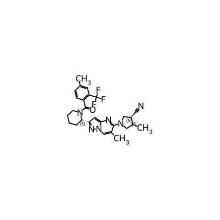 Cc1ccc(C(=O)N2CCCC[C@H]2c2cc3nc(N4C[C@@H](C#N)[C@@H](C)C4)c(C)cn3n2)c(C(F)(F)F)c1